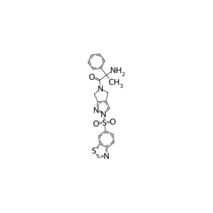 CC(N)(C(=O)N1Cc2cn(S(=O)(=O)c3ccc4ncsc4c3)nc2C1)c1ccccc1